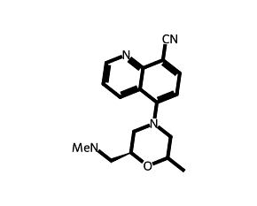 CNC[C@H]1CN(c2ccc(C#N)c3ncccc23)CC(C)O1